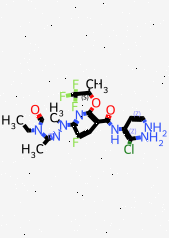 CCN(C=O)/C(C)=N\N(C)c1nc(O[C@@H](C)C(F)(F)F)c(C(=O)NC(/C=C\N)=C(/N)Cl)cc1F